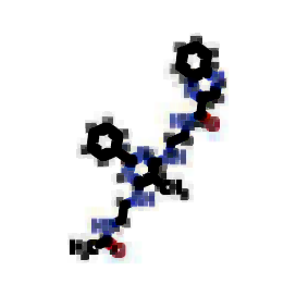 CC(=O)NCCNc1nc(-c2ccccc2)nc(NCCNC(=O)c2cnc3ccccc3n2)c1C